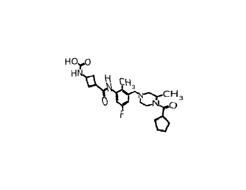 Cc1c(CN2CCN(C(=O)C3CCCC3)C(C)C2)cc(F)cc1NC(=O)C1CC(NC(=O)O)C1